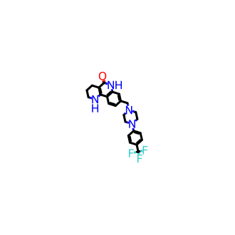 O=c1[nH]c2cc(CN3CCN(c4ccc(C(F)(F)F)cc4)CC3)ccc2c2c1CCCN2